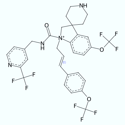 O=C(NCc1ccnc(C(F)(F)F)c1)[N+]1(C/C=C/c2ccc(OC(F)(F)F)cc2)CC2(CCNCC2)c2cc(OC(F)(F)F)ccc21